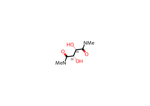 CNC(=O)[C@@H](O)[C@H](O)C(=O)NC